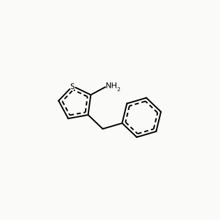 Nc1sccc1Cc1ccccc1